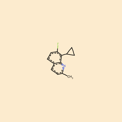 Cc1ccc2ccc(F)c(C3CC3)c2n1